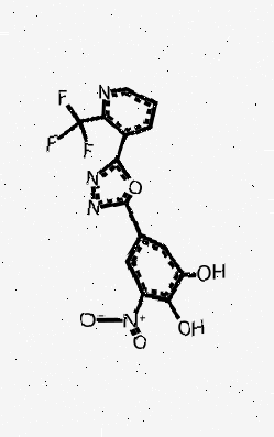 O=[N+]([O-])c1cc(-c2nnc(-c3cccnc3C(F)(F)F)o2)cc(O)c1O